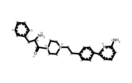 Nc1cccc(-c2ccc(CCN3CCN(C(=O)C(N)Cc4ccccc4)CC3)cc2)n1